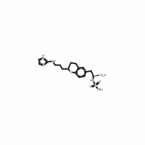 CCCCS(=O)(=O)N[C@@H](Cc1ccc2c(c1)CCC(CCCNc1ncc[nH]1)O2)C(=O)O